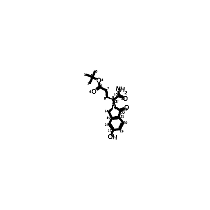 CC(C)(C)OC(=O)CC[C@@H](C(N)=O)N1Cc2cc(O)ccc2C1=O